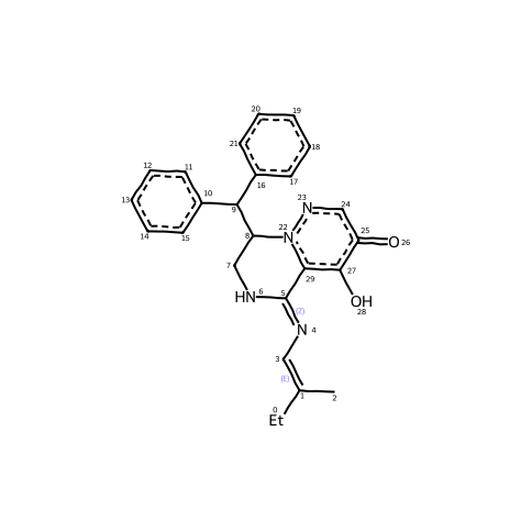 CC/C(C)=C/N=C1\NCC(C(c2ccccc2)c2ccccc2)n2ncc(=O)c(O)c21